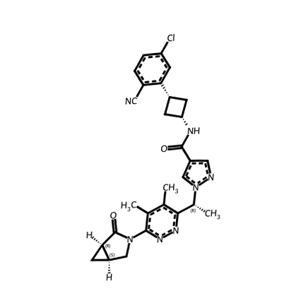 Cc1c([C@@H](C)n2cc(C(=O)N[C@H]3C[C@@H](c4cc(Cl)ccc4C#N)C3)cn2)nnc(N2C[C@H]3C[C@H]3C2=O)c1C